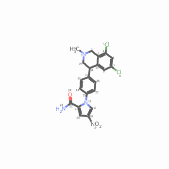 CN1Cc2c(Cl)cc(Cl)cc2C(c2ccc(-n3cc([N+](=O)[O-])cc3C(N)=O)cc2)C1